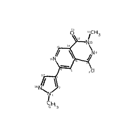 Cn1cc(-c2cc3c(Cl)nn(C)c(=O)c3cn2)cn1